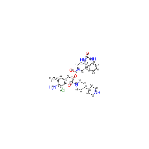 Nc1c(Cl)cc(C[C@@H](OC(=O)N2CCC3(CC2)NC(=O)Nc2ccccc23)C(=O)N2CCC(C3CCNCC3)CC2)cc1C(F)(F)F